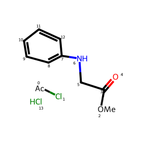 CC(=O)Cl.COC(=O)CNc1ccccc1.Cl